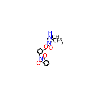 CC1(C)CN(C(=O)OCc2cccc(CN3C(=O)c4ccccc4C3=O)c2)CCN1